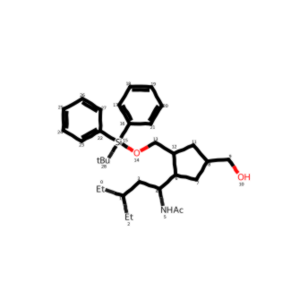 CCC(CC)CC(NC(C)=O)C1CC(CO)CC1CO[Si](c1ccccc1)(c1ccccc1)C(C)(C)C